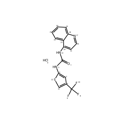 Cl.O=C(Nc1cc(C(F)(F)F)cs1)Nc1ccnc2ccccc12